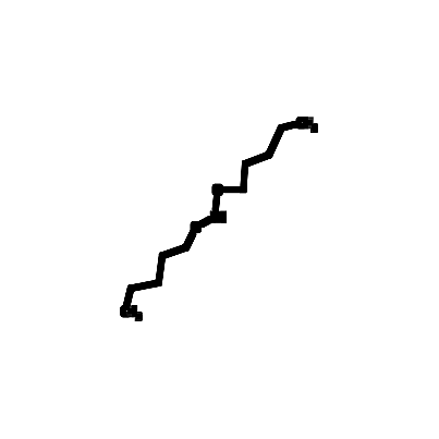 CCCCCOPOCCCCC